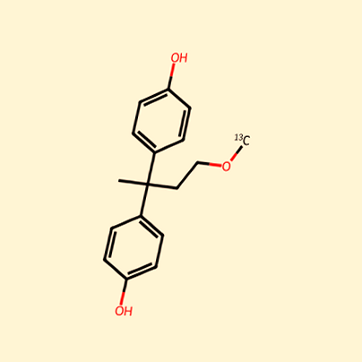 CC(CCO[13CH3])(c1ccc(O)cc1)c1ccc(O)cc1